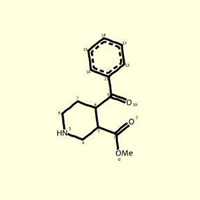 COC(=O)C1CNCCC1C(=O)c1ccccc1